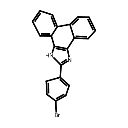 Brc1ccc(-c2nc3c4ccccc4c4ccccc4c3[nH]2)cc1